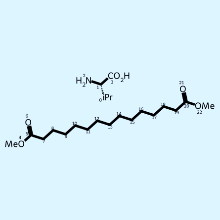 CC(C)[C@H](N)C(=O)O.COC(=O)CCCCCCCCCCCCCC(=O)OC